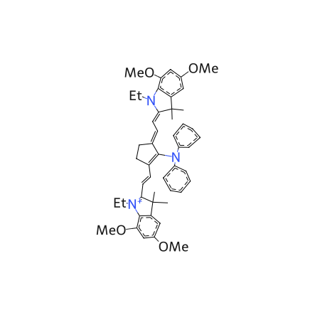 CCN1/C(=C/C=C2\CCC(/C=C/C3=[N+](CC)c4c(OC)cc(OC)cc4C3(C)C)=C2N(c2ccccc2)c2ccccc2)C(C)(C)c2cc(OC)cc(OC)c21